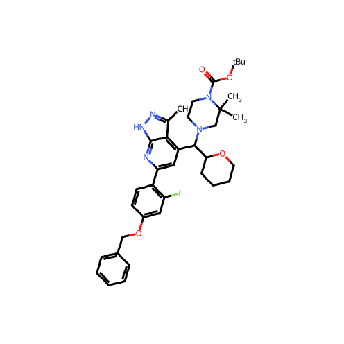 Cc1n[nH]c2nc(-c3ccc(OCc4ccccc4)cc3F)cc(C(C3CCCCO3)N3CCN(C(=O)OC(C)(C)C)C(C)(C)C3)c12